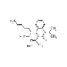 CCCCCC(CC)c1c(C(N)=O)c(=O)n(C(C)C)c2ccccc12.Cl